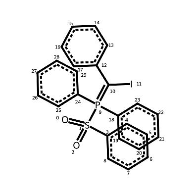 O=S(=O)(c1ccccc1)P(=C(I)c1ccccc1)(c1ccccc1)c1ccccc1